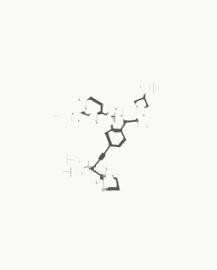 C[C@@](O)(C#Cc1ccc2c(C(=O)N3CC(O)C3)nn(-c3ccnc(N)n3)c2c1)c1ncccn1